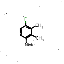 CNc1ccc(F)c(C)c1C